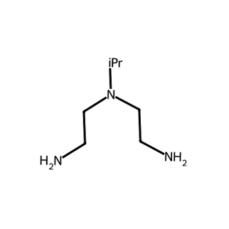 CC(C)N(CCN)CCN